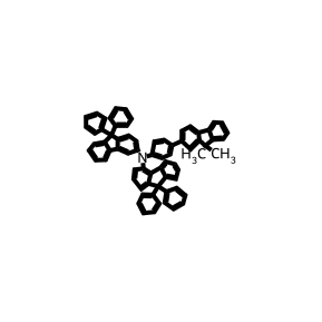 CC1(C)c2ccccc2-c2ccc(-c3ccc(N(c4ccc5c(c4)-c4ccccc4C5(c4ccccc4)c4ccccc4)c4cccc5c4-c4ccccc4C5(c4ccccc4)c4ccccc4)cc3)cc21